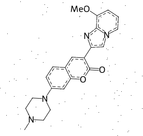 COc1cccn2cc(-c3cc4ccc(N5CCN(C)CC5)cc4oc3=O)nc12